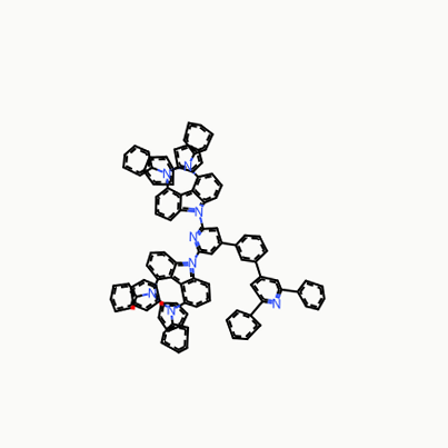 c1ccc(-c2cc(-c3cccc(-c4cc(-n5c6cccc(N(c7ccccc7)c7ccccc7)c6c6c(N(c7ccccc7)c7ccccc7)cccc65)nc(-n5c6cccc(N(c7ccccc7)c7ccccc7)c6c6c(N(c7ccccc7)c7ccccc7)cccc65)c4)c3)cc(-c3ccccc3)n2)cc1